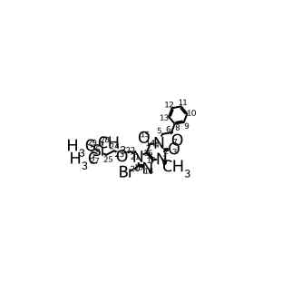 Cn1c(=O)n(CC(=O)c2ccccc2)c(=O)c2c1nc(Br)n2COCC[Si](C)(C)C